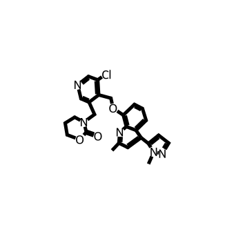 Cc1cc(-c2ccnn2C)c2cccc(OCc3c(Cl)cncc3CN3CCCOC3=O)c2n1